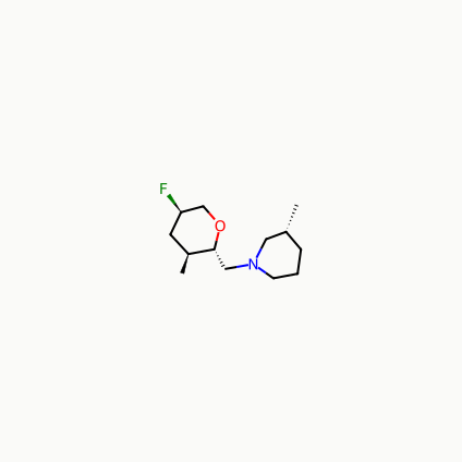 C[C@@H]1CCCN(C[C@H]2OC[C@H](F)C[C@@H]2C)C1